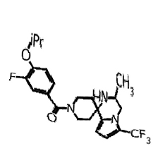 CC1Cn2c(C(F)(F)F)ccc2C2(CCN(C(=O)c3ccc(OC(C)C)c(F)c3)CC2)N1